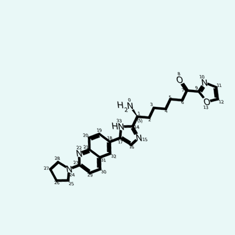 N[C@@H](CCCCCC(=O)c1ncco1)c1ncc(-c2ccc3nc(N4CCCC4)ccc3c2)[nH]1